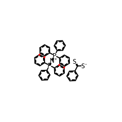 S=C([S-])c1ccccc1.c1ccc(P(=[N+]=P(c2ccccc2)(c2ccccc2)c2ccccc2)(c2ccccc2)c2ccccc2)cc1